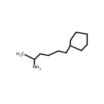 CC(N)CCCCC1CCCCC1